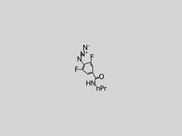 CCCNC(=O)c1cc(F)c(N=[N+]=[N-])c(F)c1